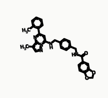 Cc1ccccc1-c1cc(NCc2ccc(CNC(=O)c3ccc4c(c3)OCO4)cc2)n2ncc(C)c2n1